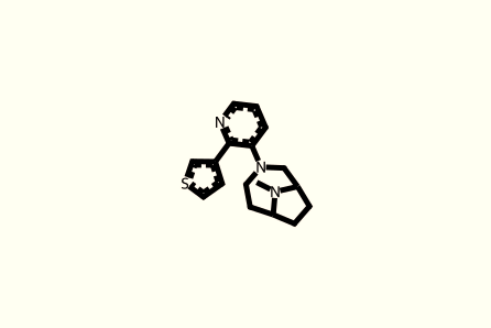 CN1C2CCC1CN(c1cccnc1-c1ccsc1)CC2